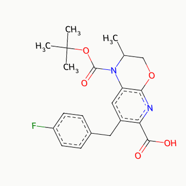 CC1COc2nc(C(=O)O)c(Cc3ccc(F)cc3)cc2N1C(=O)OC(C)(C)C